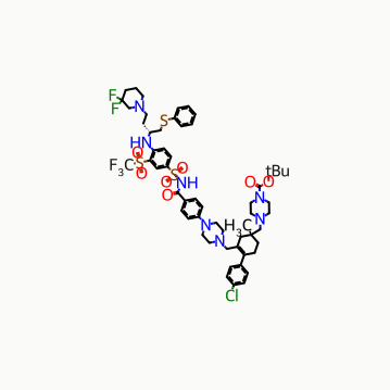 CC(C)(C)OC(=O)N1CCN(C[C@]2(C)CCC(c3ccc(Cl)cc3)=C(CN3CCN(c4ccc(C(=O)NS(=O)(=O)c5ccc(N[C@H](CCN6CCCC(F)(F)C6)CSc6ccccc6)c(S(=O)(=O)C(F)(F)F)c5)cc4)CC3)C2)CC1